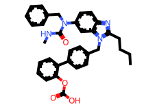 CCCCc1nc2ccc(N(Cc3ccccc3)C(=O)NC)cc2n1Cc1ccc(-c2ccccc2OC(=O)O)cc1